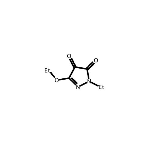 CCOC1=NN(CC)C(=O)C1=O